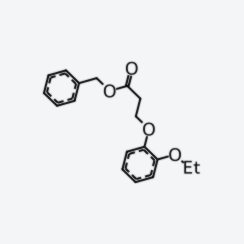 CCOc1ccccc1OCCC(=O)OCc1ccccc1